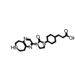 O=C(O)CCC1CCC(N2CCN(c3cnc4c(n3)CCNCC4)C2=O)CC1